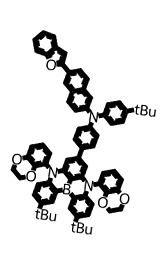 CC(C)(C)c1ccc(N(c2ccc(-c3cc4c5c(c3)N(c3cccc6c3OCCO6)c3ccc(C(C)(C)C)cc3B5c3cc(C(C)(C)C)ccc3N4c3cccc4c3OCCO4)cc2)c2ccc3cc(-c4cc5ccccc5o4)ccc3c2)cc1